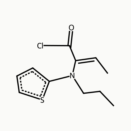 C/C=C(/C(=O)Cl)N(CCC)c1cccs1